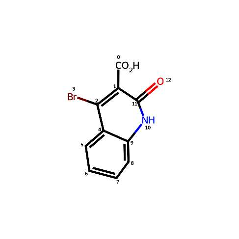 O=C(O)c1c(Br)c2ccccc2[nH]c1=O